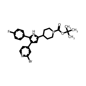 CC(C)(C)OC(=O)N1CCC(c2cc(-c3ccnc(Br)c3)c(-c3ccc(F)cc3)[nH]2)CC1